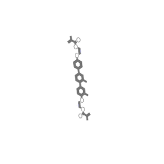 C=C(C)C(=O)O/C=C\Oc1ccc(-c2ccc(-c3ccc(O/C=C\OC(=O)C(=C)C)c(C)c3)c(C)c2)cc1